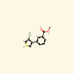 COC(=O)c1cccc(-c2cscc2Cl)c1